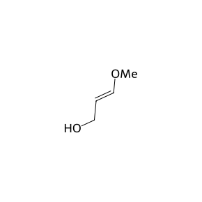 COC=CCO